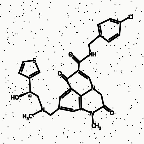 CN(Cc1cc2c3c(c1)c(=O)c(C(=O)NCc1ccc(Cl)cc1)cn3CC(=O)N2C)C[C@@H](O)c1ccsc1